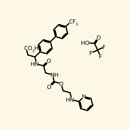 O=C(O)C(F)(F)F.O=C(O)CC(NC(=O)CNC(=O)OCCNc1ccccn1)c1ccc(-c2ccc(C(F)(F)F)cc2)cc1